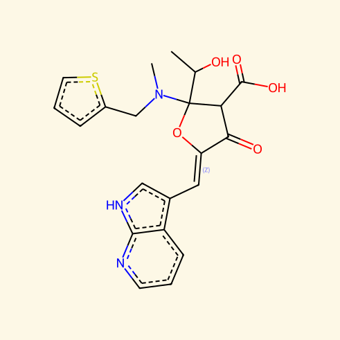 CC(O)C1(N(C)Cc2cccs2)O/C(=C\c2c[nH]c3ncccc23)C(=O)C1C(=O)O